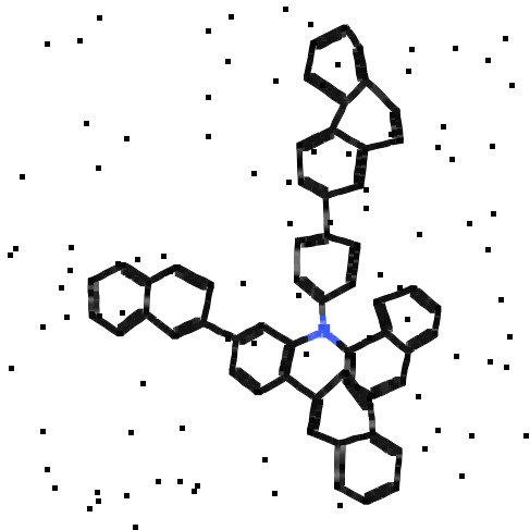 c1ccc2cc(-c3ccc(-c4ccc5ccccc5c4)c(N(c4ccc(-c5ccc6c(ccc7ccccc76)c5)cc4)c4cccc5ccccc45)c3)ccc2c1